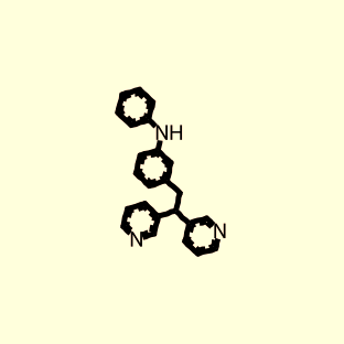 c1ccc(Nc2cccc(CC(c3cccnc3)c3cccnc3)c2)cc1